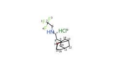 Cl.FC(F)(F)CNCCC12CC3CC(CC(C3)C1)C2